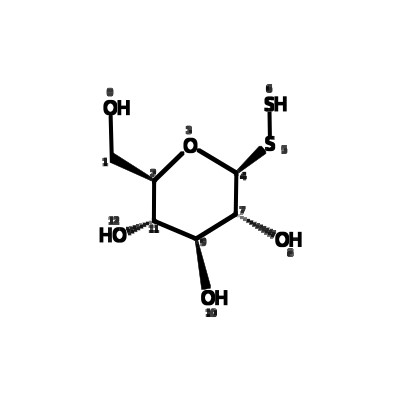 OC[C@H]1O[C@@H](SS)[C@H](O)[C@@H](O)[C@@H]1O